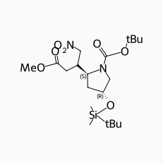 COC(=O)CC(C[N+](=O)[O-])[C@@H]1C[C@@H](O[Si](C)(C)C(C)(C)C)CN1C(=O)OC(C)(C)C